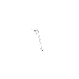 CCCCC(N)(CCC)C(C)CNCCCCCNCC(C)C(N)(CCC)CCCC